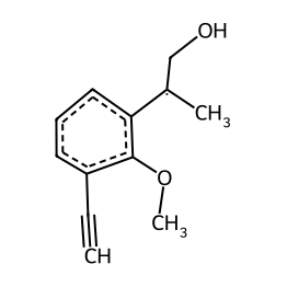 C#Cc1cccc([C](C)CO)c1OC